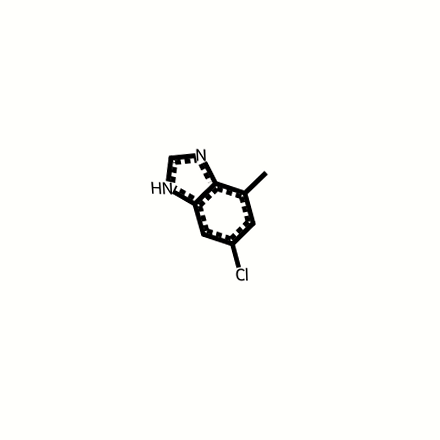 Cc1cc(Cl)cc2[nH]cnc12